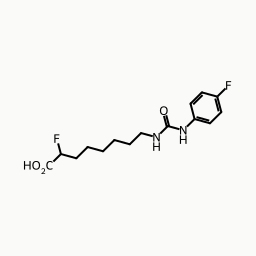 O=C(NCCCCCCC(F)C(=O)O)Nc1ccc(F)cc1